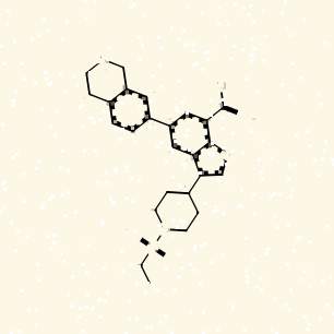 CCS(=O)(=O)N1CCC(c2c[nH]c3c(C(N)=O)cc(-c4ccc5c(c4)CNCC5)cc23)CC1